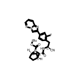 CC(C)(C)OC(=O)N1[C@@H]2CC[C@@H](C2)[C@H]1C(=O)N[C@H](C#N)Cc1ccc(-c2cn3ncccc3n2)cc1F